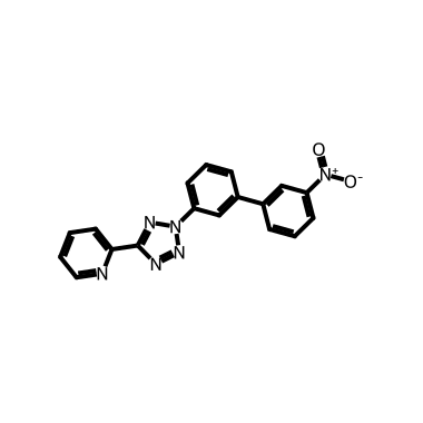 O=[N+]([O-])c1cccc(-c2cccc(-n3nnc(-c4ccccn4)n3)c2)c1